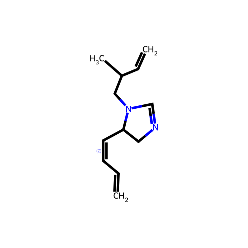 C=C/C=C\C1CN=CN1CC(C)C=C